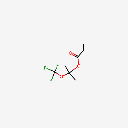 CCC(=O)OC(C)(C)OC(F)(F)F